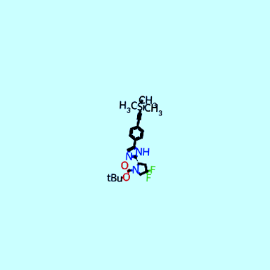 CC(C)(C)OC(=O)N1CC(F)(F)C[C@H]1c1ncc(-c2ccc(C#C[Si](C)(C)C)cc2)[nH]1